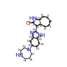 O=c1[nH]c2cccccc-2c1-c1nc2cc(N3CCCNCC3)ccc2[nH]1